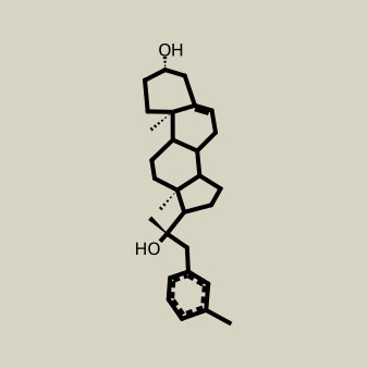 Cc1cccc(C[C@](C)(O)C2CCC3C4CC=C5C[C@@H](O)CC[C@]5(C)C4CC[C@@]32C)c1